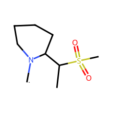 [CH2]N1CCCCC1C(C)S(C)(=O)=O